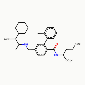 COC(C1CCCCC1)C(C)NCc1ccc(C(=O)N[C@@H](CCSC)C(=O)O)c(-c2ccccc2C)c1